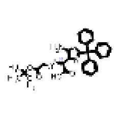 CC(C)(C)OC(=O)CO/N=C(\C(=O)O)c1nc(C(c2ccccc2)(c2ccccc2)c2ccccc2)sc1N